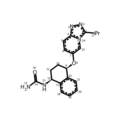 CC(C)c1nnc2ccc(O[C@@H]3CC[C@H](NC(N)=O)c4ccccc43)cn12